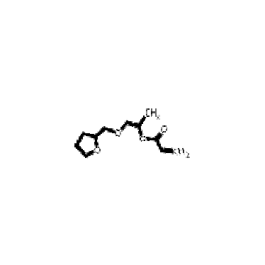 C=CC(=O)OC(C)COCC1CCCO1